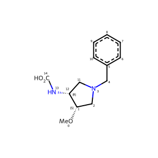 CO[C@H]1CN(Cc2ccccc2)C[C@H]1NC(=O)O